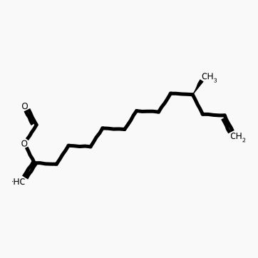 [CH]=C(CCCCCCCC[C@@H](C)CC=C)OC=O